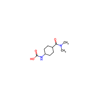 CN(C)C(=O)C1CCC(NC(=O)O)CC1